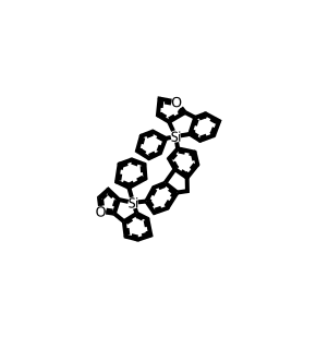 c1ccc([Si]2(c3ccc4c(c3)-c3cc([Si]5(c6ccccc6)c6ccccc6-c6occc65)ccc3C4)c3ccccc3-c3occc32)cc1